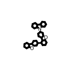 c1ccc2c(c1)oc1cc(-c3cccc4oc5cc(-n6c7ccccc7c7ccccc76)ccc5c34)ccc12